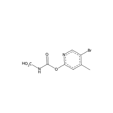 Cc1cc(OC(=O)NC(=O)O)ncc1Br